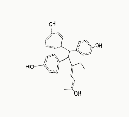 CC/C(=C\C=C(/C)O)C(c1ccc(O)cc1)C(c1ccc(O)cc1)C1C=CC=C(O)C=C1